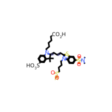 CN(C)S(=O)(=O)c1ccc2c(c1)sc(/C=C/C=C1/N(CCCCCC(=O)O)c3ccc(S(=O)(=O)O)cc3C1(C)C)[n+]2CCCC[SH](=O)=O